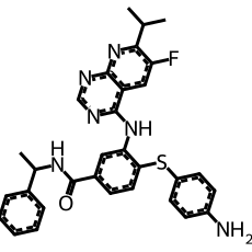 CC(C)c1nc2ncnc(Nc3cc(C(=O)NC(C)c4ccccc4)ccc3Sc3ccc(N)cc3)c2cc1F